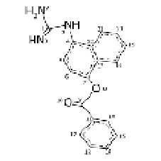 N=C(N)Nc1ccc(OC(=O)c2ccccc2)c2ccccc12